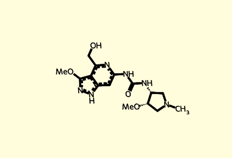 COc1n[nH]c2cc(NC(=O)N[C@@H]3CN(C)C[C@@H]3OC)nc(CO)c12